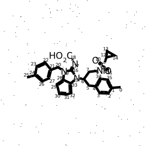 Cc1ccc(CC(CNS(=O)(=O)C2CC2)n2/c(=N/C(=O)O)n(Cc3ccc(C)cc3)c3ccccc32)cc1